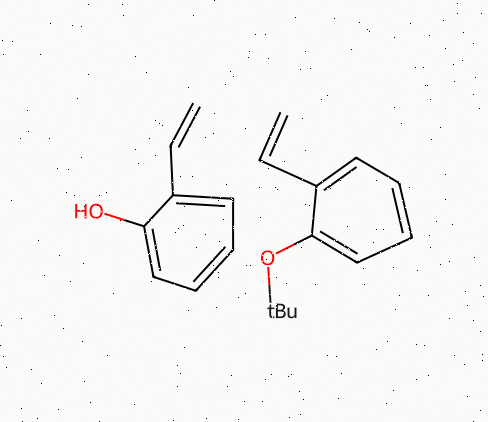 C=Cc1ccccc1O.C=Cc1ccccc1OC(C)(C)C